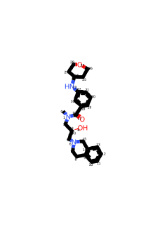 CN(C[C@H](O)CN1CCc2ccccc2C1)C(=O)c1cccc(NC2CCOCC2)c1